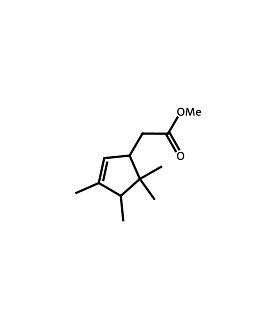 COC(=O)CC1C=C(C)C(C)C1(C)C